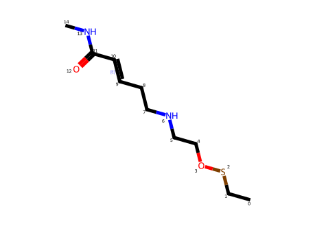 CCSOCCNCC/C=C/C(=O)NC